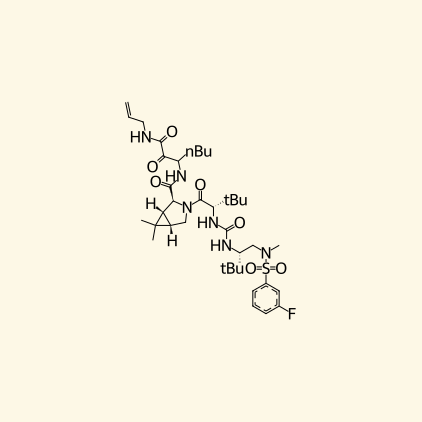 C=CCNC(=O)C(=O)C(CCCC)NC(=O)[C@@H]1[C@@H]2[C@H](CN1C(=O)[C@@H](NC(=O)N[C@H](CN(C)S(=O)(=O)c1cccc(F)c1)C(C)(C)C)C(C)(C)C)C2(C)C